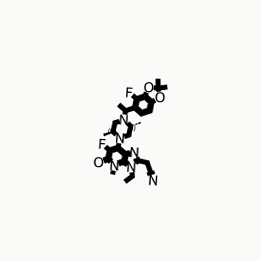 CCn1c(CC#N)nc2c(N3C[C@@H](C)N(C(C)c4ccc5c(c4F)OC(C)(C)O5)C[C@@H]3C)c(F)c(=O)n(C)c21